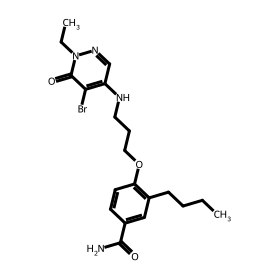 CCCCc1cc(C(N)=O)ccc1OCCCNc1cnn(CC)c(=O)c1Br